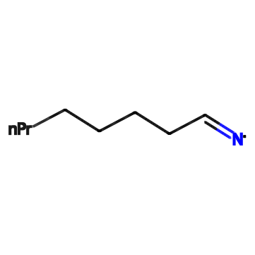 CCCCCCCC=[N]